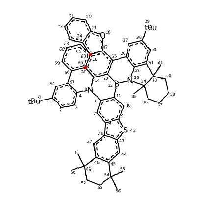 CC(C)(C)c1ccc(N2c3cc4c(cc3B3c5c2cc2c(oc6ccccc62)c5-c2cc(C(C)(C)C)cc5c2N3C2(C)CCCCC52C)sc2cc3c(cc24)C(C)(C)CCC3(C)C)c(-c2ccccc2)c1